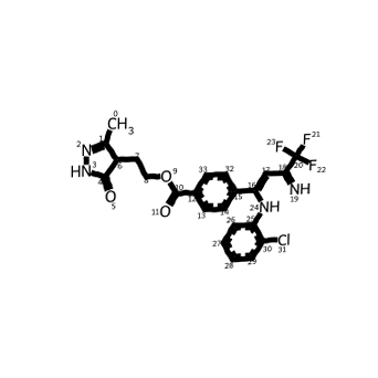 CC1=NNC(=O)C1CCOC(=O)c1ccc(/C(=C/C(=N)C(F)(F)F)Nc2ccccc2Cl)cc1